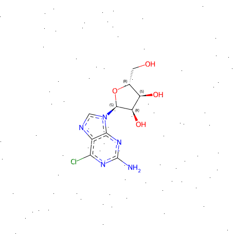 Nc1nc(Cl)c2ncn([C@H]3O[C@H](CO)[C@@H](O)[C@H]3O)c2n1